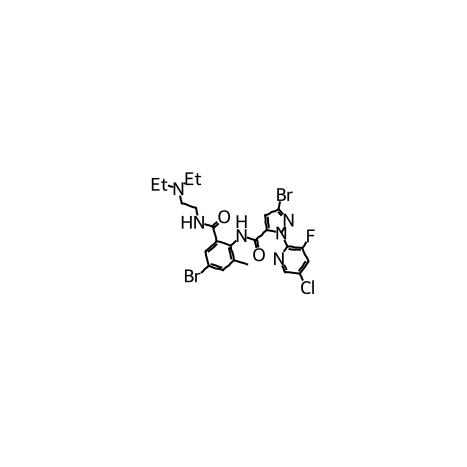 CCN(CC)CCNC(=O)c1cc(Br)cc(C)c1NC(=O)c1cc(Br)nn1-c1ncc(Cl)cc1F